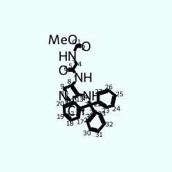 COC(=O)NCC(=O)Nc1cnn(C)c1NC(c1ccccc1)(c1ccccc1)c1ccccc1